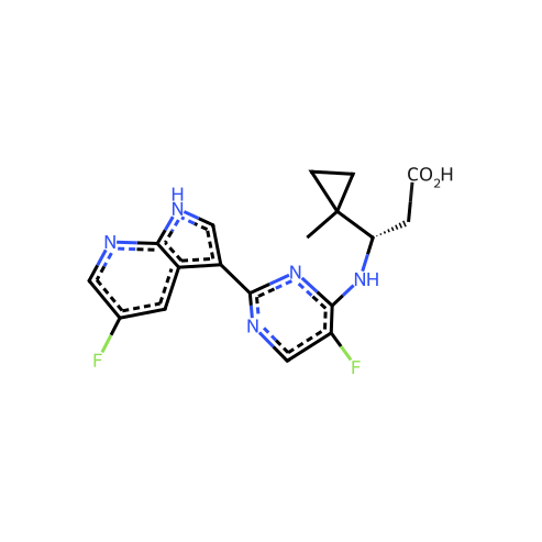 CC1([C@H](CC(=O)O)Nc2nc(-c3c[nH]c4ncc(F)cc34)ncc2F)CC1